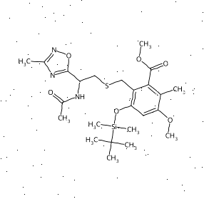 COC(=O)c1c(C)c(OC)cc(O[Si](C)(C)C(C)(C)C)c1CSCC(NC(C)=O)c1nc(C)no1